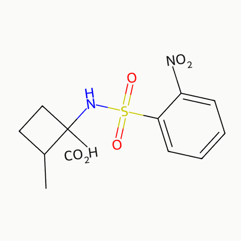 CC1CCC1(NS(=O)(=O)c1ccccc1[N+](=O)[O-])C(=O)O